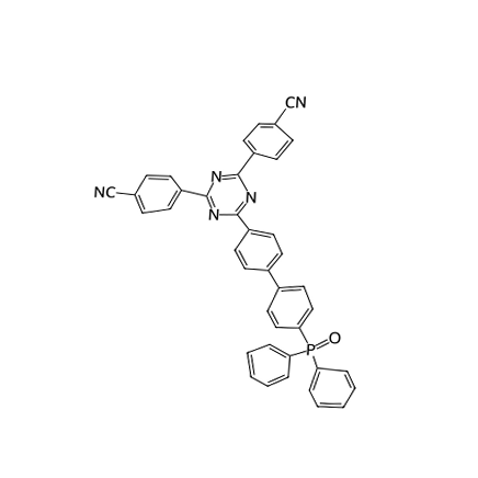 N#Cc1ccc(-c2nc(-c3ccc(C#N)cc3)nc(-c3ccc(-c4ccc(P(=O)(c5ccccc5)c5ccccc5)cc4)cc3)n2)cc1